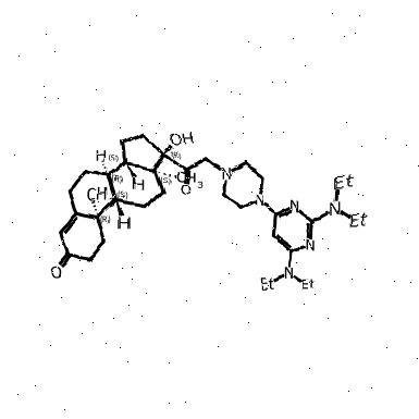 CCN(CC)c1cc(N2CCN(CC(=O)[C@@]3(O)CC[C@H]4[C@@H]5CCC6=CC(=O)CC[C@]6(C)[C@H]5CC[C@@]43C)CC2)nc(N(CC)CC)n1